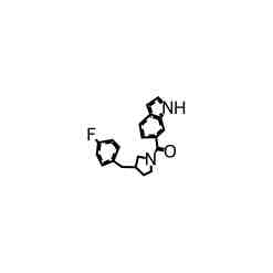 O=C(c1ccc2cc[nH]c2c1)N1CCC(Cc2ccc(F)cc2)C1